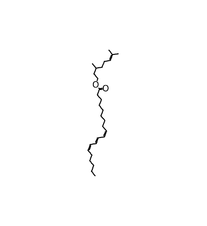 CCCCC\C=C/C=C/C=C\CCCCCCCC(=O)OCCC(C)CCC=C(C)C